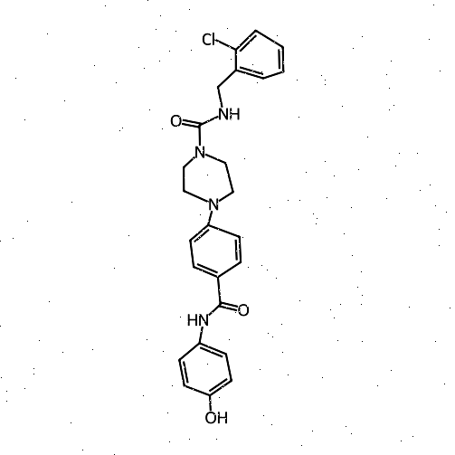 O=C(Nc1ccc(O)cc1)c1ccc(N2CCN(C(=O)NCc3ccccc3Cl)CC2)cc1